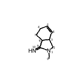 CN1CC2C=CCCC2C1=N